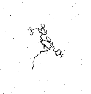 CCCCCCCCCCCn1cc(Cc2cnc(=O)n(CC(=O)N(C)C)c2)c(=O)nc1SCc1ccc(F)cc1